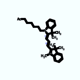 CC(=O)CCCCCCN1/C(=C/C=C/C2=[N+](C)c3ccccc3C2(C)C)C(C)(C)c2ccccc21